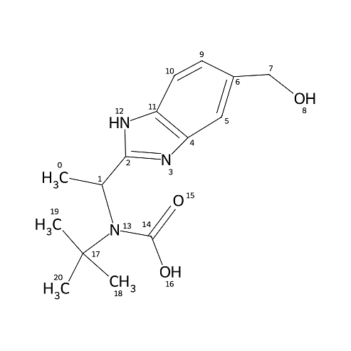 CC(c1nc2cc(CO)ccc2[nH]1)N(C(=O)O)C(C)(C)C